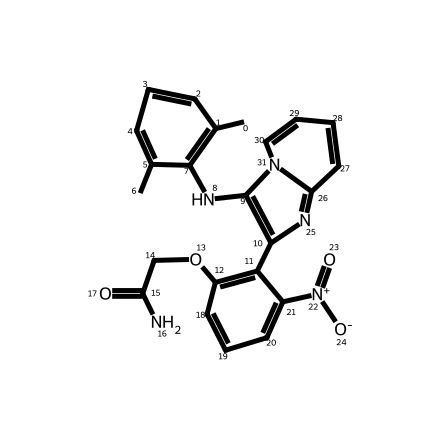 Cc1cccc(C)c1Nc1c(-c2c(OCC(N)=O)cccc2[N+](=O)[O-])nc2ccccn12